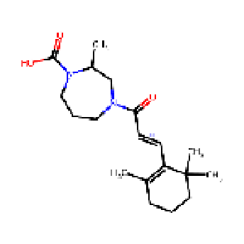 CC1=C(/C=C/C(=O)N2CCCN(C(=O)O)C(C)C2)C(C)(C)CCC1